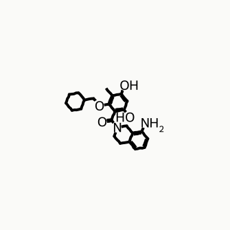 Cc1c(O)cc(O)c(C(=O)N2CCc3cccc(N)c3C2)c1OCC1CCCCC1